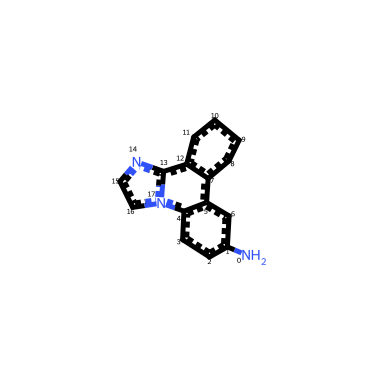 Nc1ccc2c(c1)c1ccccc1c1nccn21